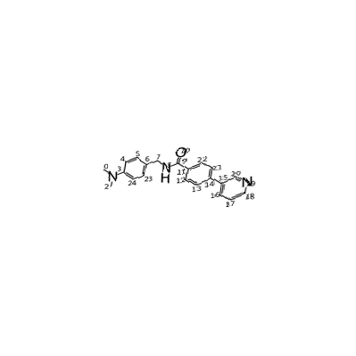 CN(C)c1ccc(CNC(=O)c2ccc(-c3cccnc3)cc2)cc1